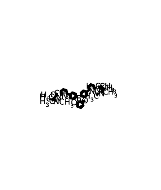 CC1=NC(C)(C)C(C)(C)N1c1cccc(-c2ccc3c(c2)Oc2cccc4c2B3c2ccc(-c3cccc(N5C(C)=NC(C)(C)C5(C)C)n3)cc2O4)n1